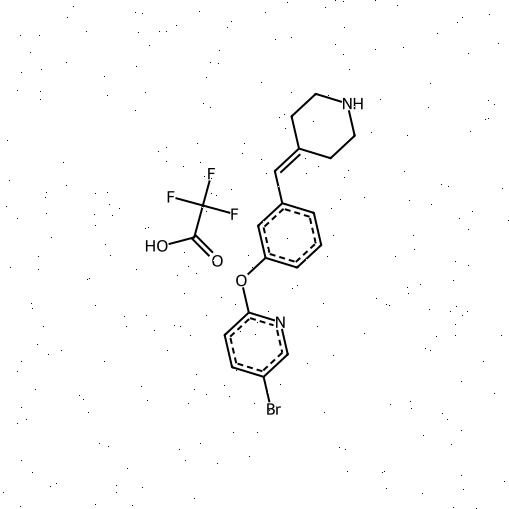 Brc1ccc(Oc2cccc(C=C3CCNCC3)c2)nc1.O=C(O)C(F)(F)F